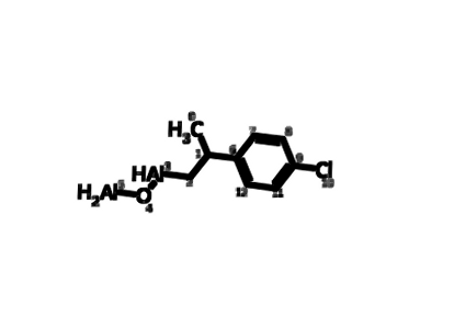 CC([CH2][AlH][O][AlH2])c1ccc(Cl)cc1